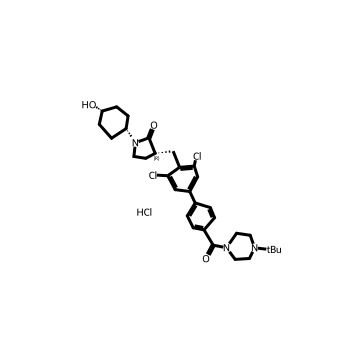 CC(C)(C)N1CCN(C(=O)c2ccc(-c3cc(Cl)c(C[C@@H]4CCN([C@H]5CC[C@@H](O)CC5)C4=O)c(Cl)c3)cc2)CC1.Cl